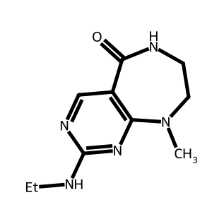 CCNc1ncc2c(n1)N(C)CCNC2=O